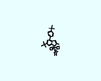 CC1=Cc2c(-c3ccc(C(C)(C)C)cc3)cc(C(C)(C)C)cc2[CH]1[Zr]([Cl])([Cl])[SiH](C)C